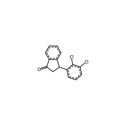 O=C1CC(c2cccc(Cl)c2Cl)c2ccccc21